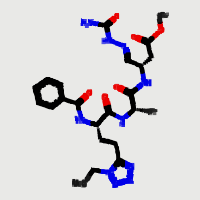 COCn1nnnc1CC[C@H](NC(=O)c1ccccc1)C(=O)N[C@H](C(=O)N[C@H](/C=N/NC(N)=O)CC(=O)OC(C)(C)C)C(C)C